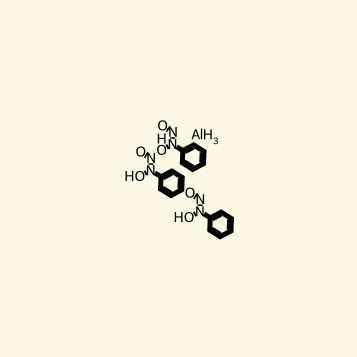 O=NN(O)c1ccccc1.O=NN(O)c1ccccc1.O=NN(O)c1ccccc1.[AlH3]